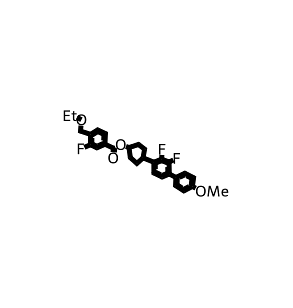 CCOCc1ccc(C(=O)OC2CCC(c3ccc(-c4ccc(OC)cc4)c(F)c3F)CC2)cc1F